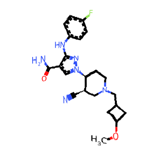 COC1CC(CN2CC[C@H](n3cc(C(N)=O)c(Nc4ccc(F)cc4)n3)[C@H](C#N)C2)C1